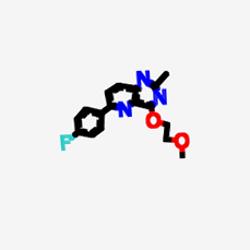 COCCOc1nc(C)nc2ccc(-c3ccc(F)cc3)nc12